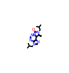 C=C1C(c2ncn(CC(C)C)c2/N=C\N)=NC(=O)N1CC(C)C